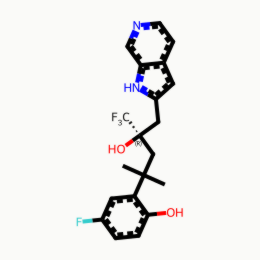 CC(C)(C[C@@](O)(Cc1cc2ccncc2[nH]1)C(F)(F)F)c1cc(F)ccc1O